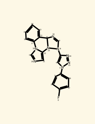 Fc1ccc(-n2cc(N3C=NC4c5ccccc5-n5cncc5N43)nn2)cc1